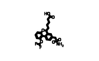 NS(=O)(=O)Cc1ccc2c(c1)C(CCCCC(=O)O)Oc1cccc(OC(F)F)c1-2